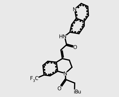 CCC(C)CC(=O)N1CCC(=CC(=O)Nc2ccc3cccnc3c2)c2ccc(C(F)(F)F)cc21